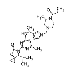 C=CC(=O)N1CCN(Cn2cnc([C@H](C)Nc3nc(C)nc(N4C(=O)OC5(CC5)C4C(C)C)n3)c2)C[C@@H]1C